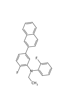 CCN(c1ccccc1F)c1cc(-c2ccc3ccccc3c2)ccc1F